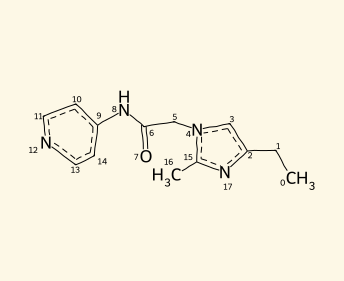 CCc1cn(CC(=O)Nc2ccncc2)c(C)n1